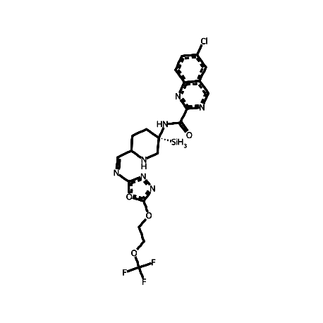 O=C(N[C@]1([SiH3])CCC(/C=N\c2nnc(OCCOC(F)(F)F)o2)NC1)c1ncc2cc(Cl)ccc2n1